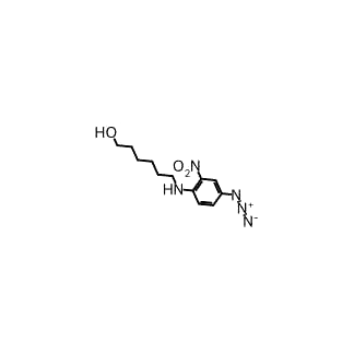 [N-]=[N+]=Nc1ccc(NCCCCCCO)c([N+](=O)[O-])c1